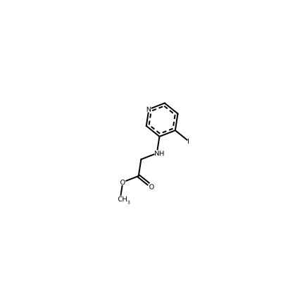 COC(=O)CNc1cnccc1I